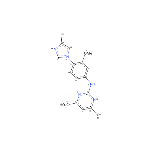 COc1cc(Nc2nc(C(=O)O)cc(C(C)C)n2)ccc1-n1cnc(C)c1